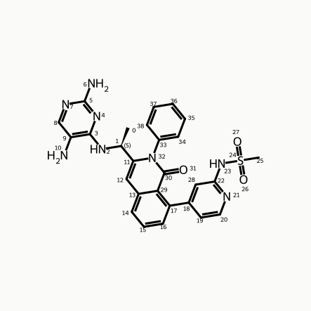 C[C@H](Nc1nc(N)ncc1N)c1cc2cccc(-c3ccnc(NS(C)(=O)=O)c3)c2c(=O)n1-c1ccccc1